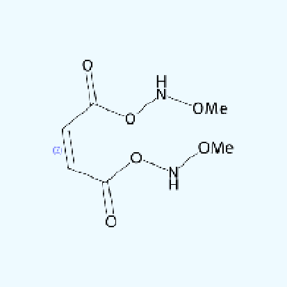 CONOC(=O)/C=C\C(=O)ONOC